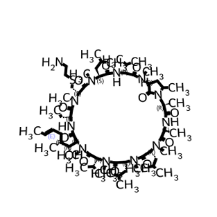 C/C=C/C[C@@H](C)[C@@H](O)[C@@H]1C(=O)N[C@H](CC)C(=O)N(C)[C@H](CSCCN)C(=O)N(C)[C@@H](CC(C)C)C(=O)N[C@H](C(C)C)C(=O)N(C)[C@@H]2CC(C)N(C2=O)[C@H](C)C(=O)N[C@@H](C)C(=O)N(C)[C@H](CC(C)C)C(=O)N(C)[C@H](CC(C)C)C(=O)N(C)[C@H](C(C)C)C(=O)N1C